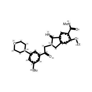 CCOc1cc2c(cc1C(=O)NC)C(=N)N(CC(=O)c1cc(N3CCOCC3)[c]c(C(C)(C)C)c1)C2